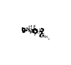 Nc1nccc(-c2cccnc2Oc2cc(F)c(NS(=O)(=O)CC34CCC(CC3)C4)c(F)c2F)n1